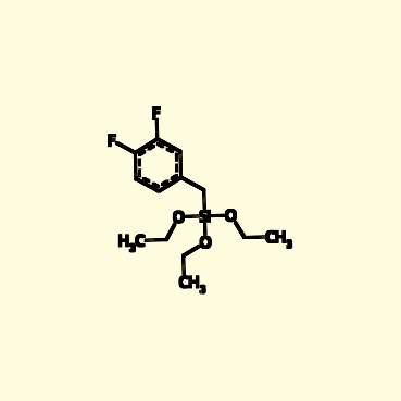 CCO[Si](Cc1ccc(F)c(F)c1)(OCC)OCC